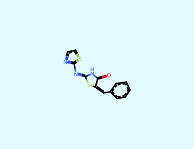 O=C1NC(=Nc2nccs2)SC1=Cc1ccccc1